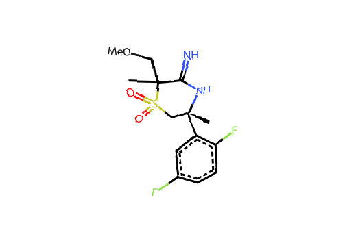 COCC1(C)C(=N)N[C@](C)(c2cc(F)ccc2F)CS1(=O)=O